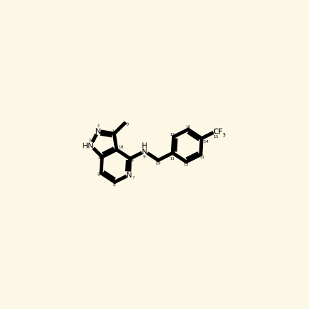 Cc1n[nH]c2ccnc(NCc3ccc(C(F)(F)F)cc3)c12